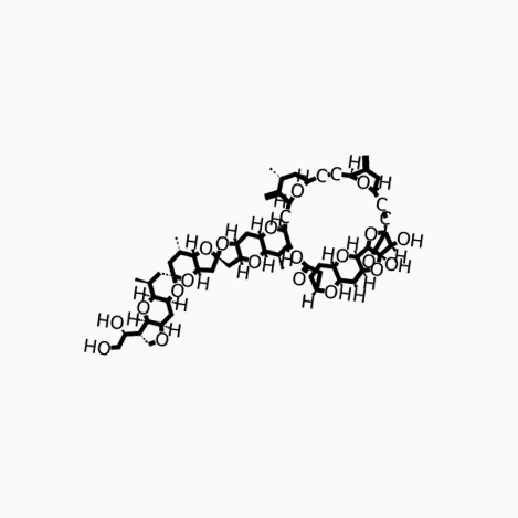 C=C1C[C@@H]2CC[C@]34OC5[C@@H]6O[C@H]7CC[C@H](CC(=O)O[C@@H]8[C@@H](C)[C@@H]9O[C@@H]%10C[C@]%11(C[C@@H]%12O[C@]%13(C[C@H](C)[C@@H]%14O[C@@H]%15[C@@H]([C@@H](O)CO)CO[C@@H]%15C[C@@H]%14O%13)C[C@H](C)[C@@H]%12O%11)O[C@@H]%10C[C@@H]9O[C@H]8C[C@H]8O[C@@H](CC[C@@H]1O2)C[C@@H](C)C8=C)O[C@@H]7[C@H](O3)[C@@H]6O[C@@]5(O)[C@H]4O